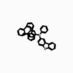 c1ccc(N(c2ccc3c(c2)-c2c4cccc2-c2cccc-3c2-c2ccccc2-4)c2ccc3sc4ccccc4c3c2)cc1